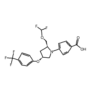 O=C(O)c1ccc(N2C[C@@H](Oc3ccc(C(F)(F)F)cc3)C[C@H]2COC(F)F)cc1